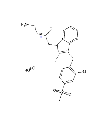 Cc1c(Cc2ccc(S(C)(=O)=O)cc2Cl)c2ncccc2n1C/C(F)=C/CN.Cl.Cl